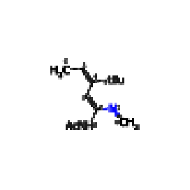 C=N/C(=C\C(=C/C)C(C)(C)C)NC(C)=O